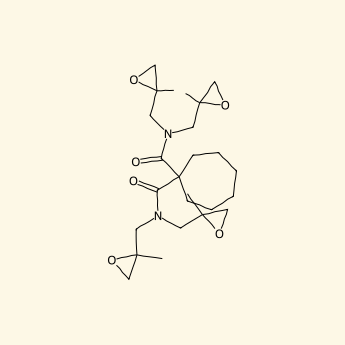 CC1(CN(CC2(C)CO2)C(=O)C2(C(=O)N(CC3(C)CO3)CC3(C)CO3)CCCCCC2)CO1